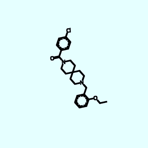 CCOc1ccccc1CN1CCC2(CC1)CCN(C(=O)c1ccc(Cl)cc1)CC2